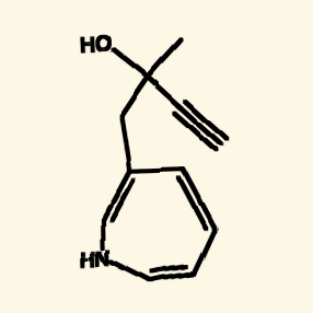 C#CC(C)(O)CC1=CNC=CC=C1